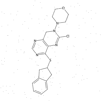 ClC1=Nc2c(ncnc2SC2Cc3ccccc3C2)CN1N1CCOCC1